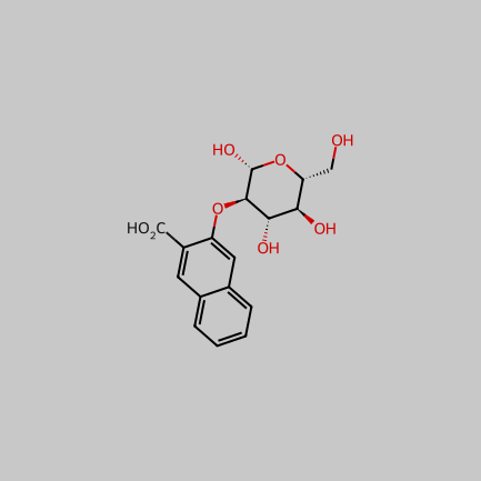 O=C(O)c1cc2ccccc2cc1O[C@@H]1[C@@H](O)[C@H](O)[C@@H](CO)O[C@H]1O